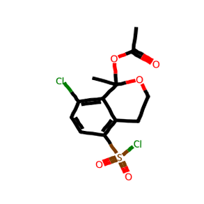 CC(=O)OC1(C)OCCc2c(S(=O)(=O)Cl)ccc(Cl)c21